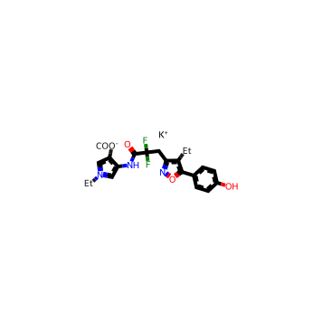 CCc1c(CC(F)(F)C(=O)Nc2cn(CC)cc2C(=O)[O-])noc1-c1ccc(O)cc1.[K+]